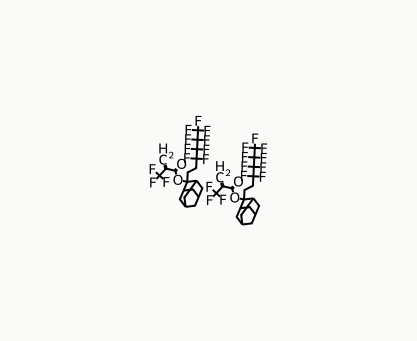 C=C(C(=O)OC1(CCC(F)(F)C(F)(F)C(F)(F)C(F)(F)F)C2CC3CC(C2)CC1C3)C(F)(F)F.C=C(C(=O)OC1(CCC(F)(F)C(F)(F)C(F)(F)C(F)(F)F)C2CC3CC(C2)CC1C3)C(F)(F)F